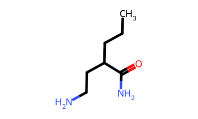 CCCC(CCN)C(N)=O